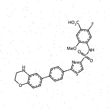 COc1cc(C(=O)O)c(F)cc1NS(=O)(=O)c1csc(-c2ccc(-c3ccc4c(c3)NCCO4)cc2)n1